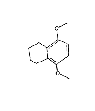 COc1ccc(OC)c2c1CCCC2